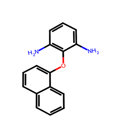 Nc1cccc(N)c1Oc1cccc2ccccc12